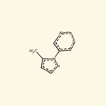 Cc1[c]cnn1-c1cccnc1